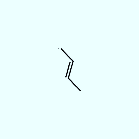 [CH2]C=CC